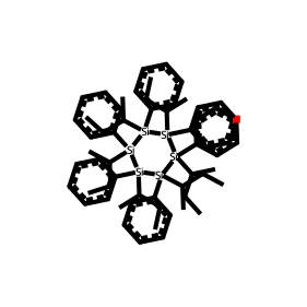 CCC(C)[Si]1(c2ccccc2)[Si](c2ccccc2)(C(C)CC)[Si](c2ccccc2)(C(C)CC)[Si](c2ccccc2)(C(C)CC)[Si](c2ccccc2)(C(C)CC)[Si]1(c1ccccc1)C(C)CC